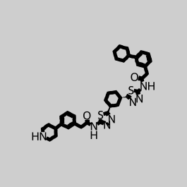 O=C(Cc1cccc(C2CCCCC2)c1)Nc1nnc([C@H]2CCC[C@H](c3nnc(NC(=O)Cc4cccc(C5CCNCC5)c4)s3)C2)s1